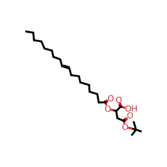 CCCCCCCCC=CCCCCCCCC(=O)OC(CC(=O)OC(C)(C)C)C(=O)O